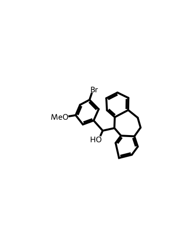 COc1cc(Br)cc(C(O)C2c3ccccc3CCc3ccccc32)c1